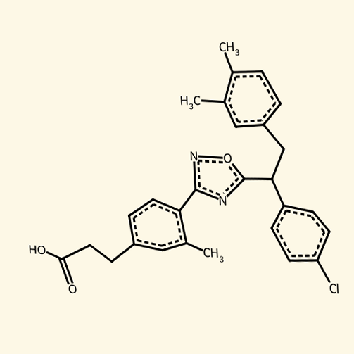 Cc1ccc(CC(c2ccc(Cl)cc2)c2nc(-c3ccc(CCC(=O)O)cc3C)no2)cc1C